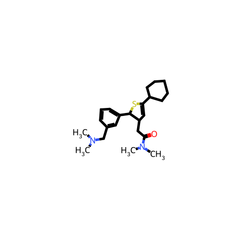 CN(C)Cc1cccc(C2SC(C3CCCCC3)=CC2CC(=O)N(C)C)c1